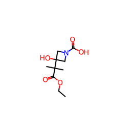 CCOC(=O)C(C)(C)C1(O)CN(C(=O)O)C1